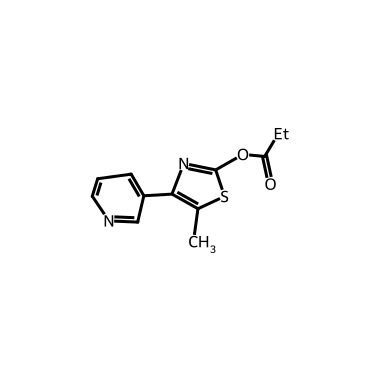 CCC(=O)Oc1nc(-c2cccnc2)c(C)s1